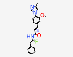 COc1cc(/C=C/C(=O)N[C@@H](F)Cc2ccccc2)ccc1-n1cnc(C)c1